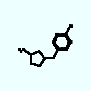 CCc1ncc(CN2CCC(N)C2)cn1